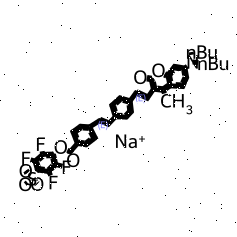 CCCCN(CCCC)c1ccc2c(C)c(/C=C/c3ccc(/C=C/c4ccc(C(=O)Oc5c(F)c(F)c(S(=O)(=O)[O-])c(F)c5F)cc4)cc3)c(=O)oc2c1.[Na+]